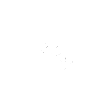 COC(=O)c1ccc(C(=O)Oc2c(F)c(F)c(F)c(F)c2F)cc1